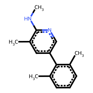 CNc1ncc(-c2c(C)cccc2C)cc1C